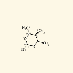 C=C1C(C)C[C@H](CC)O[C@@H]1C